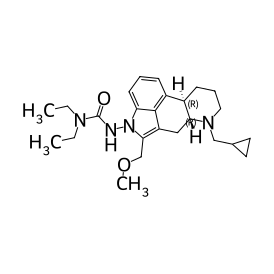 CCN(CC)C(=O)Nn1c(COC)c2c3c(cccc31)[C@H]1CCCN(CC3CC3)[C@@H]1C2